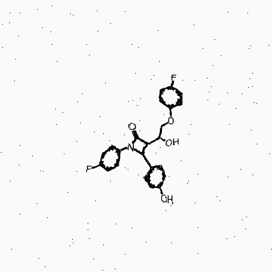 O=C1C([C@H](O)COc2ccc(F)cc2)C(c2ccc(O)cc2)N1c1ccc(F)cc1